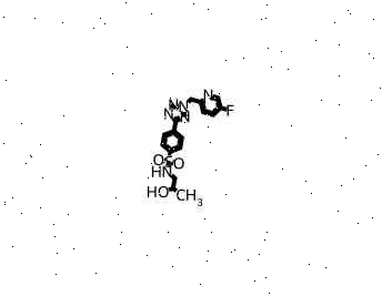 CC(O)CNS(=O)(=O)c1ccc(-c2nnn(Cc3ccc(F)cn3)n2)cc1